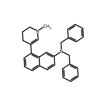 CN1C=C(c2cccc3ccc(N(Cc4ccccc4)Cc4ccccc4)cc23)CCC1